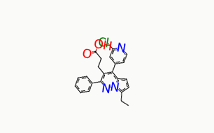 CCc1ccc2c(-c3ccnc(Cl)c3)c(CCC(=O)O)c(-c3ccccc3)nn12